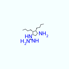 CCCC[C@@H]1[C@H](CCCC)[C@@H](NC(=N)N)C[C@H]1N